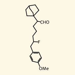 COc1ccc(CC(F)CCCC(C=O)C23CCC(CC2)CC3)cc1